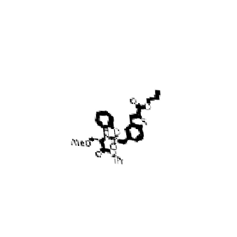 C=CCOC(=O)c1cc2cc(CP(=O)(N[C@@H](COC)C(=O)OC(C)C)Oc3ccccc3)ccc2s1